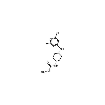 Cc1nc(Cl)cc(N[C@H]2CC[C@@H](NC(=O)OC(C)(C)C)CC2)n1